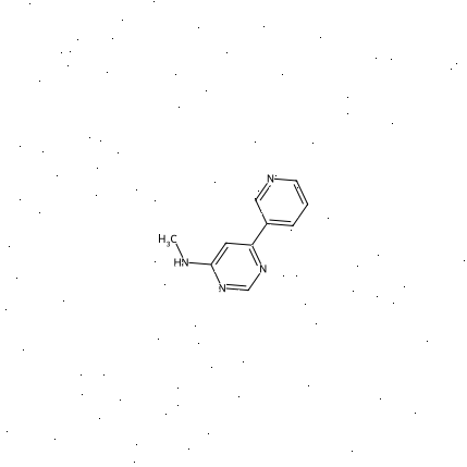 CNc1cc(-c2cccnc2)ncn1